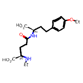 CCN[C@H](CCC(=O)N[C@H](CCc1ccc(OCC)cc1)C(=O)O)C(=O)O